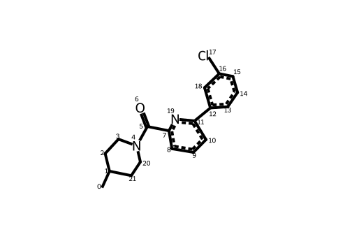 CC1CCN(C(=O)c2cccc(-c3cccc(Cl)c3)n2)CC1